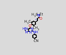 CCN(C)C(=O)/C=C/c1cc(C)c(Oc2nc(Nc3ccc(C#N)cc3)nc3nc[nH]c23)c(C)c1